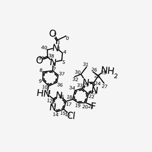 CC(=O)N1CCN(c2ccc(Nc3ncc(Cl)c(-c4cc(F)c5nc(C(C)(C)N)n(C(C)C)c5c4)n3)cc2)C(=O)C1